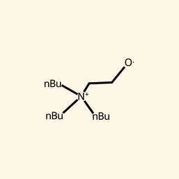 CCCC[N+](CC[O])(CCCC)CCCC